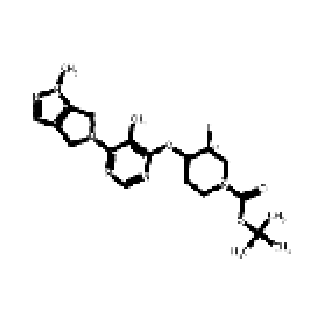 Cc1c(OC2CCN(C(=O)OC(C)(C)C)C[C@@H]2F)ncnc1N1Cc2cnn(C)c2C1